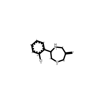 C=C1CNC(c2ccccc2Cl)COC1